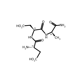 C[C@@H](NC(=O)[C@H](CC(=O)O)NC(=O)[C@@H](N)CC(=O)O)C(N)=O